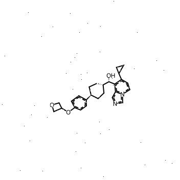 O[C@H](c1c(C2CC2)ccn2cncc12)[C@H]1CC[C@H](c2ccc(OC3COC3)cc2)CC1